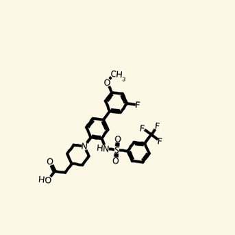 COc1cc(F)cc(-c2ccc(N3CCC(CC(=O)O)CC3)c(NS(=O)(=O)c3cccc(C(F)(F)F)c3)c2)c1